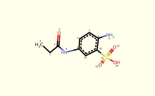 CCC(=O)Nc1ccc(N)c(S(=O)(=O)O)c1